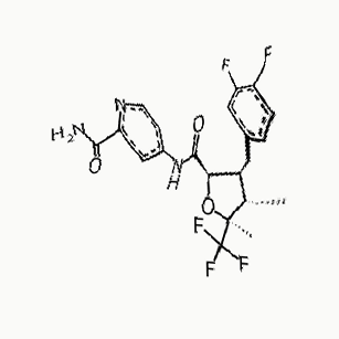 C[C@H]1[C@H](c2ccc(F)c(F)c2)[C@H](C(=O)Nc2ccnc(C(N)=O)c2)O[C@]1(C)C(F)(F)F